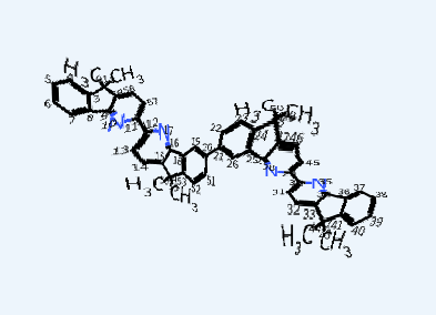 CC1(C)c2ccccc2-c2nc(-c3ccc4c(n3)-c3cc(-c5ccc6c(c5)-c5nc(-c7ccc8c(n7)-c7ccccc7C8(C)C)ccc5C6(C)C)ccc3C4(C)C)ccc21